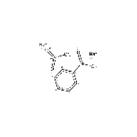 O=[N+]([O-])c1ccccc1.O=[S-](=O)[O-].[Na+].[Na+]